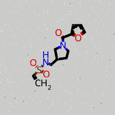 C=CS(=O)(=O)NCC1CCN(C(=O)c2ccco2)C1